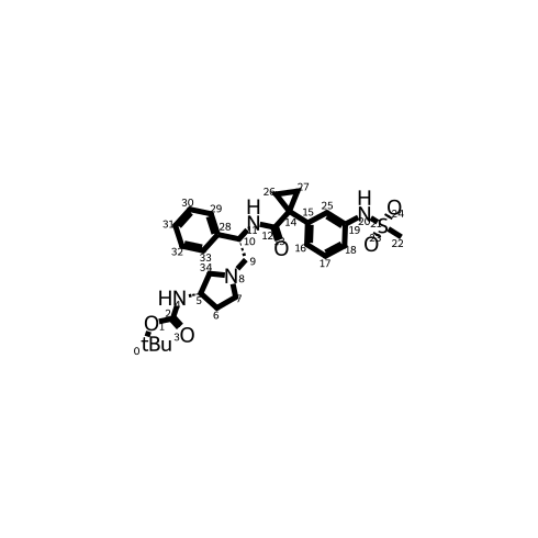 CC(C)(C)OC(=O)N[C@H]1CCN(C[C@@H](NC(=O)C2(c3cccc(NS(C)(=O)=O)c3)CC2)c2ccccc2)C1